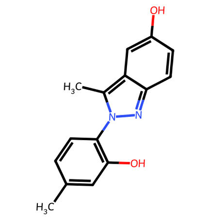 Cc1ccc(-n2nc3ccc(O)cc3c2C)c(O)c1